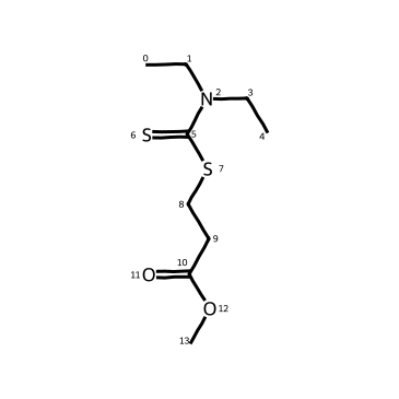 CCN(CC)C(=S)SCCC(=O)OC